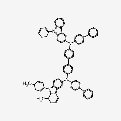 CC1C=CC(n2c3c(c4cc(N(c5ccc(-c6ccccc6)cc5)c5ccc(-c6ccc(N(c7ccc(-c8ccccc8)cc7)c7ccc8c(c7)c7ccccc7n8C7=CC=CCC7)cc6)cc5)ccc42)C=CCC3C)=CC1